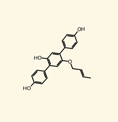 C/C=C/COc1cc(-c2ccc(O)cc2)c(O)cc1-c1ccc(O)cc1